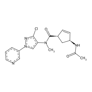 CC(=O)N[C@@H]1C=C[C@H](C(=O)N(C)c2cn(-c3cccnc3)nc2Cl)C1